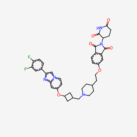 O=C1CCC(N2C(=O)c3ccc(OCCC4CCN(CC5CC(Oc6ccn7cc(-c8ccc(F)c(F)c8)nc7c6)C5)CC4)cc3C2=O)C(=O)N1